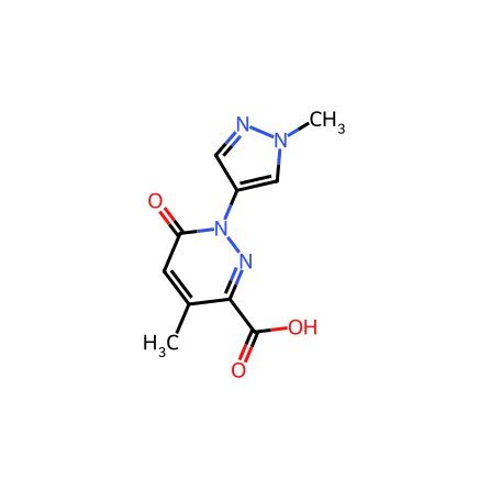 Cc1cc(=O)n(-c2cnn(C)c2)nc1C(=O)O